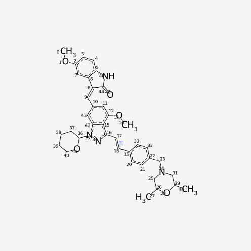 COc1ccc2c(c1)C(=Cc1cc(OC)c3c(/C=C/c4ccc(CN5CC(C)OC(C)C5)cc4)nn(C4CCCCO4)c3c1)C(=O)N2